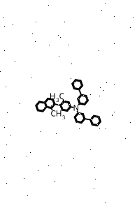 Cc1cc(N(c2cccc(-c3ccccc3)c2)c2cccc(-c3ccccc3)c2)ccc1-c1ccc2ccccc2c1C